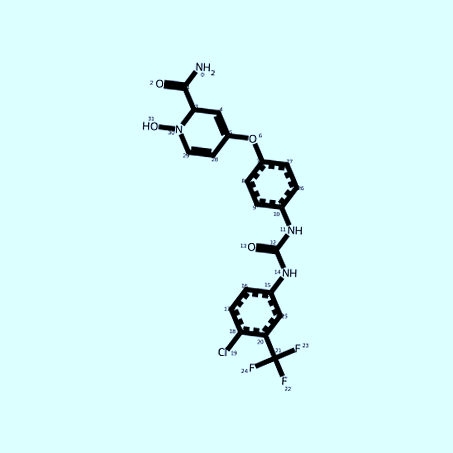 NC(=O)C1C=C(Oc2ccc(NC(=O)Nc3ccc(Cl)c(C(F)(F)F)c3)cc2)C=CN1O